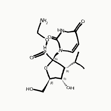 CC(C)[C@@H]1[C@H](O)[C@@H](CO)O[C@]1(n1ccc(=O)[nH]c1=O)[PH](=O)OCN